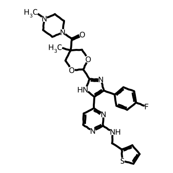 CN1CCN(C(=O)C2(C)COC(c3nc(-c4ccc(F)cc4)c(-c4ccnc(NCc5cccs5)n4)[nH]3)OC2)CC1